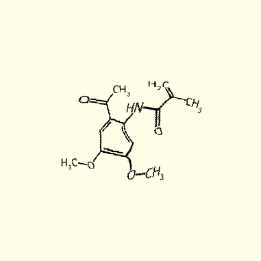 C=C(C)C(=O)Nc1cc(OC)c(OC)cc1C(C)=O